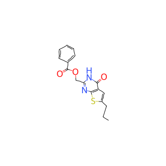 CCCc1cc2c(=O)[nH]c(COC(=O)c3ccccc3)nc2s1